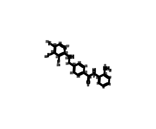 Nc1ccccc1NC(=O)c1ccc(CNc2ncc(F)c(F)c2F)cc1